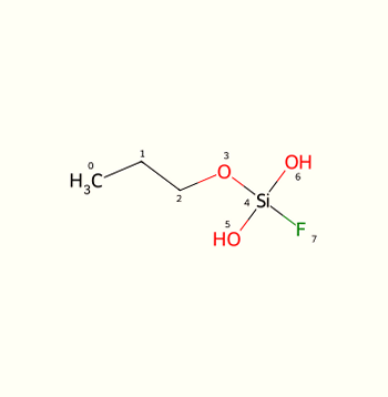 CCCO[Si](O)(O)F